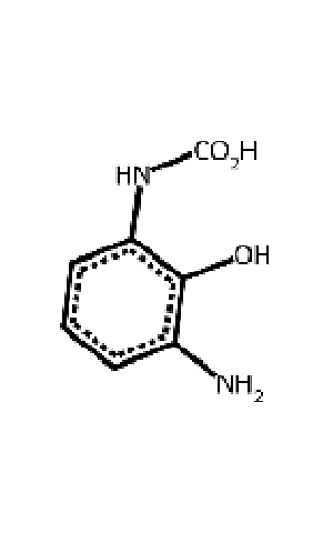 Nc1cccc(NC(=O)O)c1O